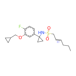 CCC/C=C/CS(=O)(=O)NC1(c2ccc(F)c(OCC3CC3)c2)CC1